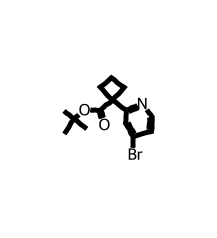 CC(C)(C)OC(=O)C1(c2cc(Br)ccn2)CCC1